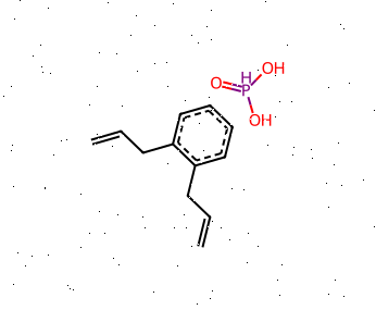 C=CCc1ccccc1CC=C.O=[PH](O)O